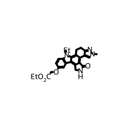 CCOC(=O)COc1ccc2c(c1)c1c3c(c4c(c1n2CC)CCc1nn(C)cc1-4)C(=O)NC3